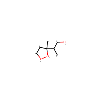 CC(CO)C1(C)CCOO1